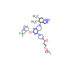 COC/C=C/C(=O)N1CCN(c2nc(OCC3CC(F)(F)CN3C)nc3c2CCN(c2c(C)c(C)cc4[nH]ncc24)C3)CC1